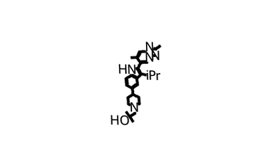 Cc1nc2cc(C)c(-c3[nH]c4ccc(C5CCN(CC(C)(C)O)CC5)cc4c3C(C)C)cn2n1